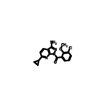 COc1c(Cl)cccc1C(=O)n1nc(N)c2ccc(C3CC3)nc21